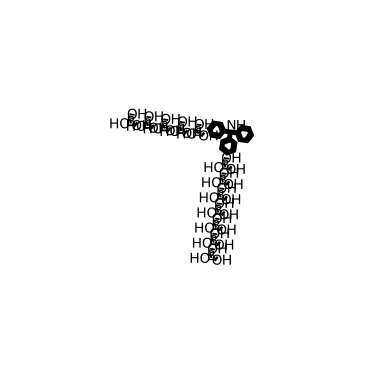 NC(c1ccccc1)(c1ccccc1)c1ccccc1.OB(O)O.OB(O)O.OB(O)O.OB(O)O.OB(O)O.OB(O)O.OB(O)O.OB(O)O.OB(O)O.OB(O)O.OB(O)O.OB(O)O